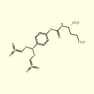 O=C(O)CC[C@H](NC(=O)Oc1ccc(N(OC=S(=O)=O)OC=S(=O)=O)cc1)C(=O)O